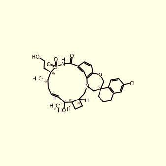 C[C@H]1C/C=C/[C@](C)(O)[C@@H]2CC[C@H]2CN2C[C@@]3(CCCc4cc(Cl)ccc43)COc3ccc(cc32)C(=O)NS(=O)(=O)[C@@H]1CCO